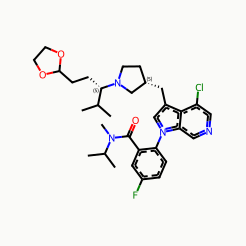 CC(C)[C@H](CCC1OCCO1)N1CC[C@H](Cc2cn(-c3ccc(F)cc3C(=O)N(C)C(C)C)c3cncc(Cl)c23)C1